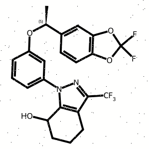 C[C@H](Oc1cccc(-n2nc(C(F)(F)F)c3c2C(O)CCC3)c1)c1ccc2c(c1)OC(F)(F)O2